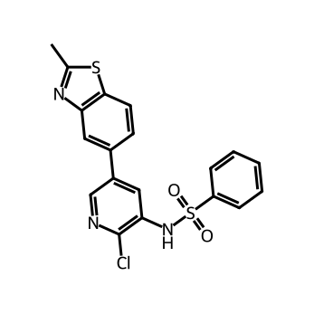 Cc1nc2cc(-c3cnc(Cl)c(NS(=O)(=O)c4ccccc4)c3)ccc2s1